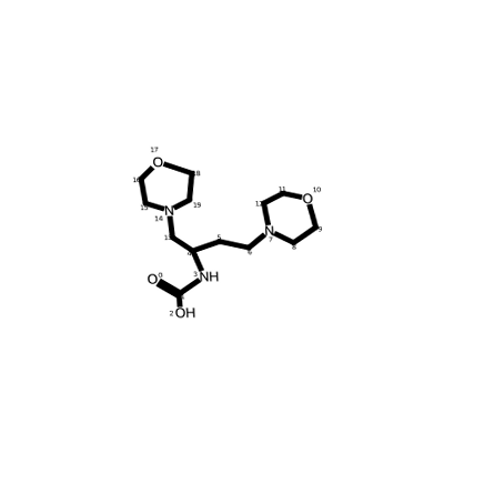 O=C(O)NC(CCN1CCOCC1)CN1CCOCC1